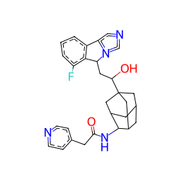 O=C(Cc1ccncc1)NC1C2CC3CC1CC(C(O)CC1c4c(F)cccc4-c4cncn41)(C3)C2